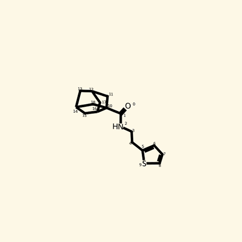 O=C(NCCc1cccs1)C12CC3CC(CC1C3)C2